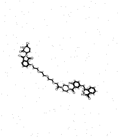 O=C1CCC(N2C(=O)c3cccc(SCCOCCOCCOCC(=O)N4CCN(C(=O)c5cc(Cc6n[nH]c(=O)c7ccccc67)ccc5F)CC4)c3C2=O)C(=O)N1